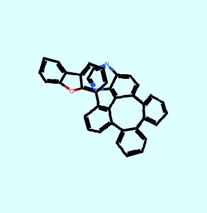 c1ccc2c(c1)-c1ccccc1-c1ccc3nccnc3c1-c1c-2cccc1-c1cccc2c1oc1ccccc12